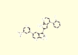 CN(C)c1cncc(-c2cnc3[nH]nc(-c4cc5c(-c6ccccc6F)ccnc5[nH]4)c3c2)c1